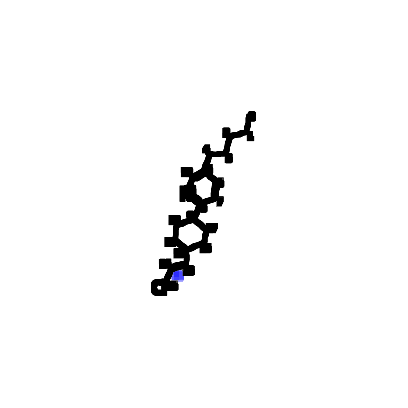 CCCCCc1ccc(C2CCC(/C=C/Cl)CC2)nc1